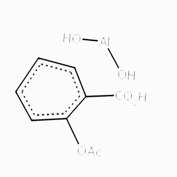 CC(=O)Oc1ccccc1C(=O)O.[OH][Al][OH]